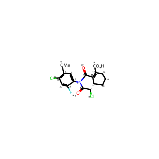 COc1cc(N(C(=O)CCl)C(=O)C2=C(C(=O)O)CCCC2)c(F)cc1Cl